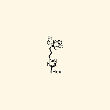 CCCCCCc1cnn(CCC[Si](OCC)(OCC)OCC)n1